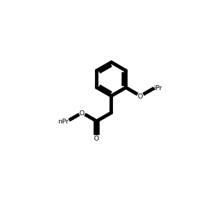 CCCOC(=O)Cc1ccccc1OC(C)C